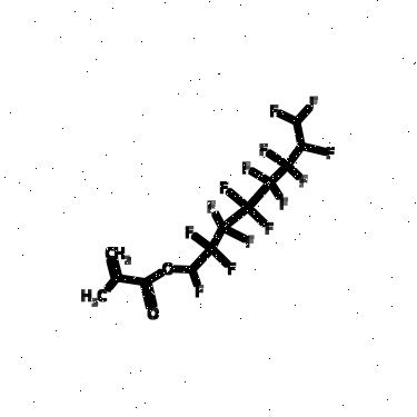 C=C(C)C(=O)OC(F)C(F)(F)C(F)(F)C(F)(F)C(F)(F)C(F)(F)C(F)C(F)F